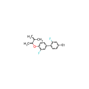 C=C(C)C(=C)Oc1ccc(-c2ccc(CC)cc2F)cc1F